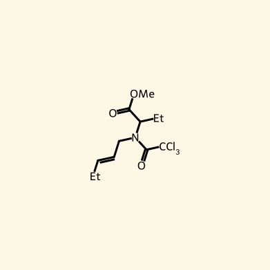 CC/C=C/CN(C(=O)C(Cl)(Cl)Cl)C(CC)C(=O)OC